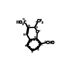 O=Cc1cccc2c1OC(C(F)(F)F)C(C(=O)O)=C2